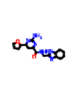 Nc1nc(C(=O)NCc2nc3ccccc3[nH]2)cc(-c2ccco2)n1